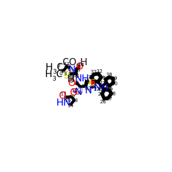 CC1(C)S[C@@H]2[C@@H](NC(=O)/C(=N\OC3CCNC3=O)c3csc(NC(c4ccccc4)(c4ccccc4)c4ccccc4)n3)C(=O)N2[C@H]1C(=O)O